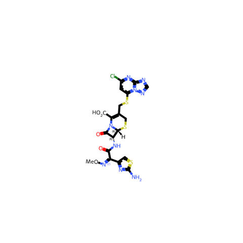 CO/N=C(\C(=O)N[C@@H]1C(=O)N2C(C(=O)O)=C(CSc3cc(Cl)nc4ncnn34)CS[C@H]12)c1csc(N)n1